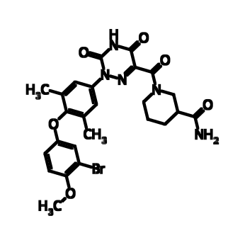 COc1ccc(Oc2c(C)cc(-n3nc(C(=O)N4CCCC(C(N)=O)C4)c(=O)[nH]c3=O)cc2C)cc1Br